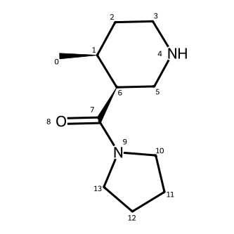 C[C@H]1CCNC[C@H]1C(=O)N1CCCC1